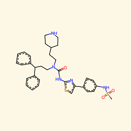 CS(=O)(=O)Nc1ccc(-c2csc(NC(=O)N(CCC3CCNCC3)CCC(c3ccccc3)c3ccccc3)n2)cc1